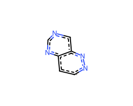 [c]1cc2ncncc2nn1